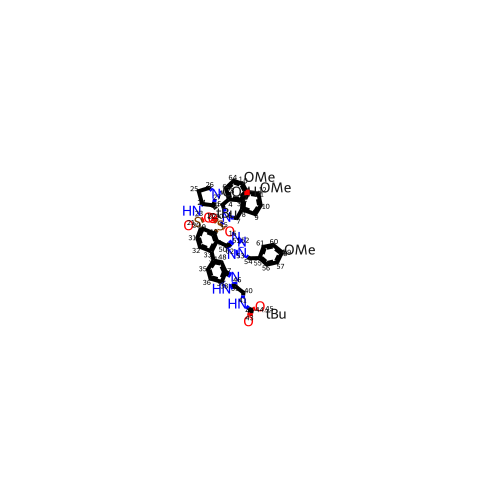 COc1ccc(CN(Cc2ccc(OC)cc2)S(=O)(=O)c2c(S(=O)(=O)NC3CCN(C(=O)O)C3C(C)(C)C)ccc(-c3ccc4[nH]c(CNC(=O)OC(C)(C)C)nc4c3)c2-c2nnn(Cc3ccc(OC)cc3)n2)cc1